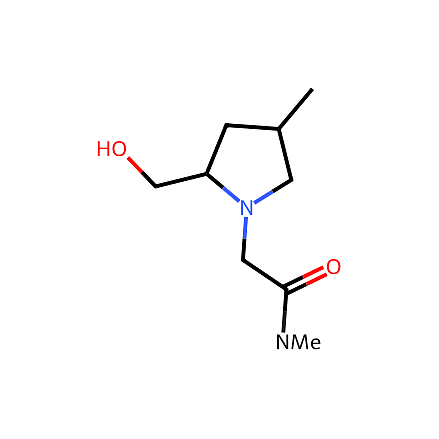 CNC(=O)CN1CC(C)CC1CO